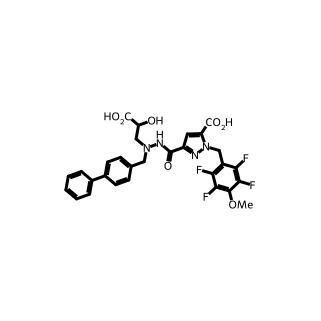 COc1c(F)c(F)c(Cn2nc(C(=O)NN(Cc3ccc(-c4ccccc4)cc3)CC(O)C(=O)O)cc2C(=O)O)c(F)c1F